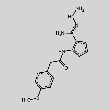 COc1ccc(CC(=O)Nc2sccc2/C(N)=N/NN)cc1